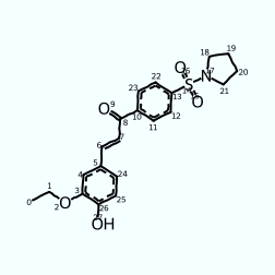 CCOc1cc(C=CC(=O)c2ccc(S(=O)(=O)N3CCCC3)cc2)ccc1O